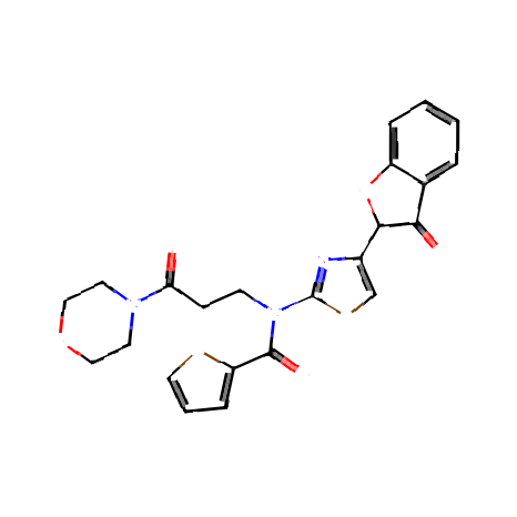 O=C1c2ccccc2OC1c1csc(N(CCC(=O)N2CCOCC2)C(=O)c2cccs2)n1